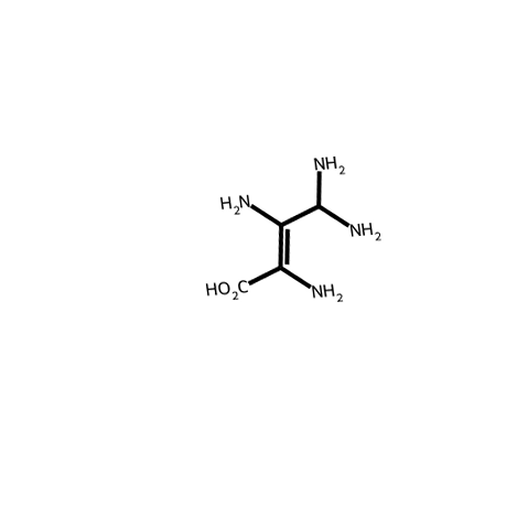 N/C(C(=O)O)=C(/N)C(N)N